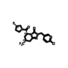 O=C([C@H]1C[C@@H](C(F)(F)F)Cc2nn(Cc3ccc(Cl)nc3)c(=O)n21)N1CC[C@H](F)C1